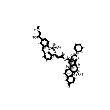 CNCC(O)c1ccc(OP(=O)(O)O)c(C[n+]2cccc(/C=C/C(=O)OCC(=O)[C@@]34O[C@H](C5CCCCC5)O[C@@H]3C[C@H]3[C@@H]5CCC6=CC(=O)C=C[C@]6(C)[C@H]5[C@@H](O)C[C@@]34C)c2)c1